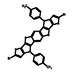 Cc1ccc(-n2c3cc(Br)sc3c3sc4cc5c(cc4c32)sc2c3sc(Br)cc3n(-c3ccc(C)cc3)c52)cc1